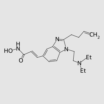 C=CCCc1nc2cc(C=CC(=O)NO)ccc2n1CCN(CC)CC